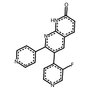 O=c1ccc2cc(-c3ccncc3F)c(-c3ccncc3)nc2[nH]1